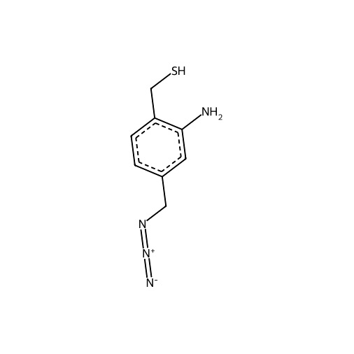 [N-]=[N+]=NCc1ccc(CS)c(N)c1